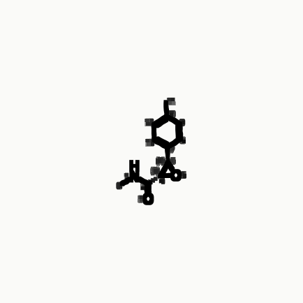 CNC(=O)[C@H]1O[C@@H]1c1ccc(C)cc1